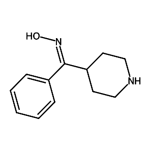 O/N=C(\c1ccccc1)C1CCNCC1